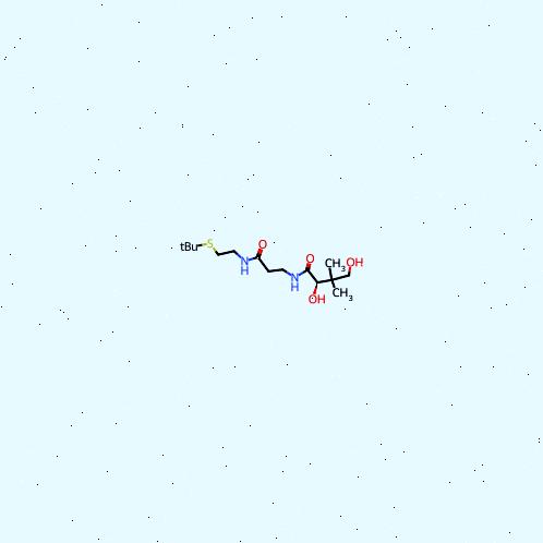 CC(C)(C)SCCNC(=O)CCNC(=O)[C@H](O)C(C)(C)CO